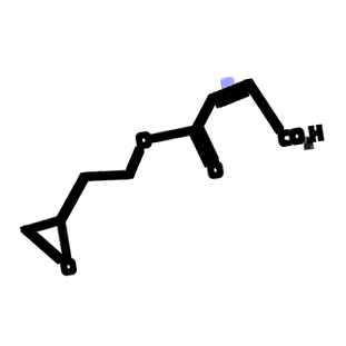 O=C(O)/C=C\C(=O)OCCC1CO1